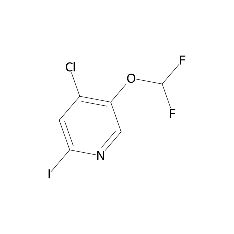 FC(F)Oc1cnc(I)cc1Cl